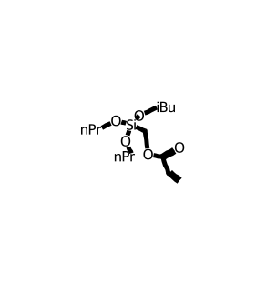 C=CC(=O)OC[Si](OCCC)(OCCC)OC(C)CC